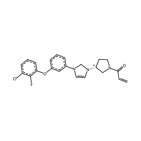 C=CC(=O)N1CC[C@@H](N2C=CN(c3cccc(Oc4cccc(Cl)c4F)c3)C2)C1